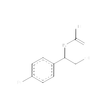 O=C(O)NC(CO)c1ccc(Br)cc1